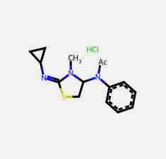 CC(=O)N(c1ccccc1)C1CSC(=NC2CC2)N1C.Cl